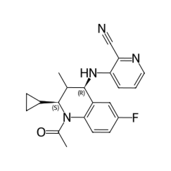 CC(=O)N1c2ccc(F)cc2[C@H](Nc2cccnc2C#N)C(C)[C@@H]1C1CC1